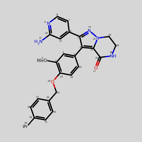 COc1cc(-c2c(-c3ccnc(N)c3)nn3c2C(=O)NCC3)ccc1OCc1ccc(C(C)C)cc1